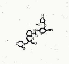 CO[C@@H]1CNC[C@H]1Oc1cc(NC(=O)N2CCCc3cc(CN4CCOCC4=O)c(C=O)nc32)ncc1C#N